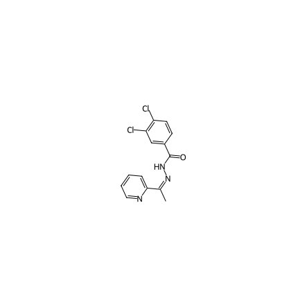 CC(=NNC(=O)c1ccc(Cl)c(Cl)c1)c1ccccn1